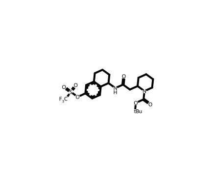 CC(C)(C)OC(=O)N1CCCCC1CC(=O)NC1CCCc2cc(OS(=O)(=O)C(F)(F)F)ccc21